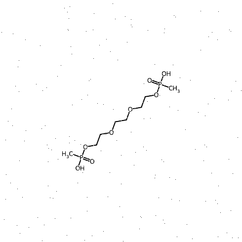 CP(=O)(O)OCCOCCOCCOP(C)(=O)O